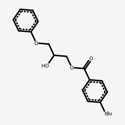 CC(C)(C)c1ccc(C(=O)OCC(O)COc2ccccc2)cc1